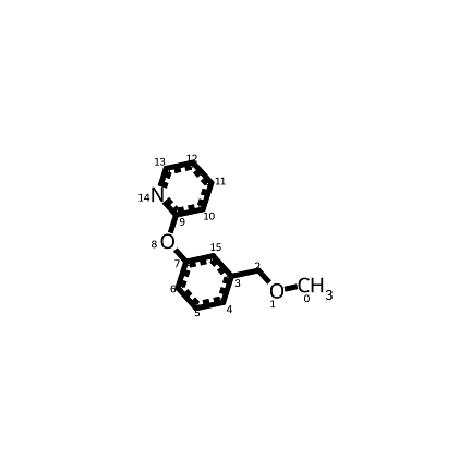 COCc1cccc(Oc2ccccn2)c1